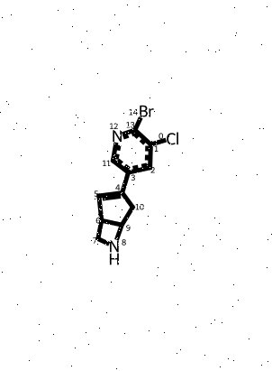 Clc1cc(C2=CC3CNC3C2)cnc1Br